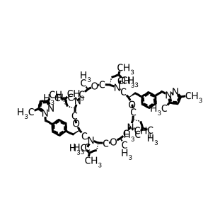 Cc1cc(C)n(Cc2ccc(C[C@@H]3CN(C)[C@@H](CC(C)C)CO[C@H](C)CN(C)[C@@H](CC(C)C)CO[C@H](Cc4cccc(Cn5nc(C)cc5C)c4)CN(C)[C@@H](CC(C)C)CO[C@H](C)CN(C)[C@@H](CC(C)C)CO3)cc2)n1